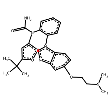 CN(C)CCOc1ccc2c(c1)ncn2-c1ccccc1N(C(N)=O)c1cc(C(C)(C)C)on1